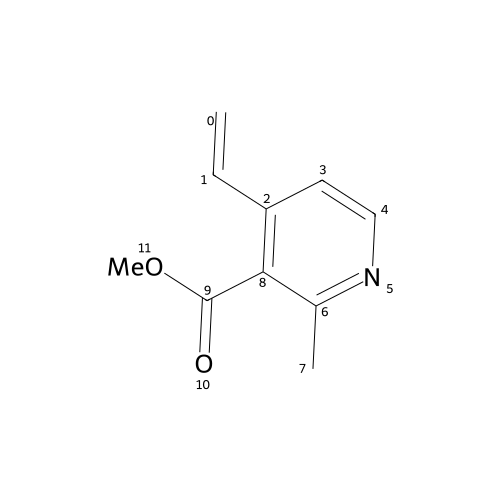 C=Cc1ccnc(C)c1C(=O)OC